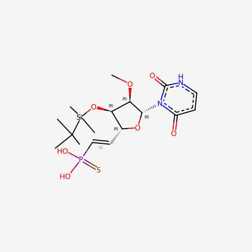 CO[C@@H]1[C@H](O[Si](C)(C)C(C)(C)C)[C@@H](/C=C/P(O)(O)=S)O[C@H]1n1c(=O)cc[nH]c1=O